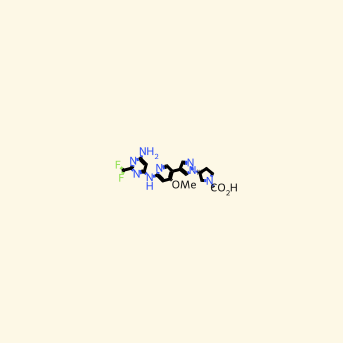 COc1cc(Nc2cc(N)nc(C(F)F)n2)ncc1-c1cnn([C@H]2CCN(C(=O)O)C2)c1